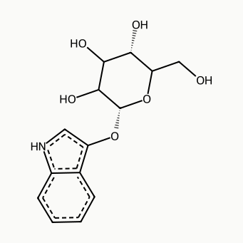 OCC1O[C@H](Oc2c[nH]c3ccccc23)C(O)C(O)[C@@H]1O